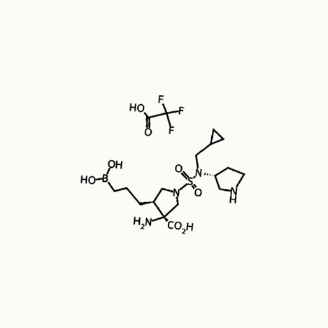 N[C@@]1(C(=O)O)CN(S(=O)(=O)N(CC2CC2)[C@@H]2CCNC2)C[C@@H]1CCCB(O)O.O=C(O)C(F)(F)F